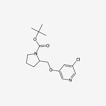 CC(C)(C)OC(=O)N1CCCC1COc1cncc(Cl)c1